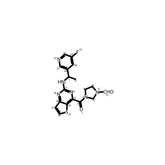 CC(Nc1nc(C(=O)N2CCN(C=O)C2)c2sccc2n1)c1cncc(F)c1